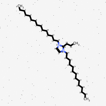 CCCCCCCCCCCCCCCN1C=CN(CCCCCCCCCCCCCC)C1CCC